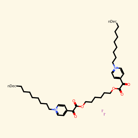 CCCCCCCCCCCCCCCCCC[n+]1ccc(C(=O)C(=O)OCCCCCCOC(=O)C(=O)c2cc[n+](CCCCCCCCCCCCCCCCCC)cc2)cc1.[I-].[I-]